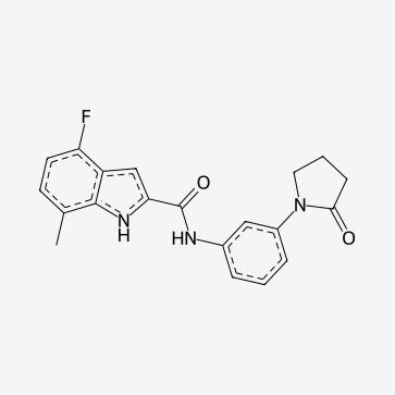 Cc1ccc(F)c2cc(C(=O)Nc3cccc(N4CCCC4=O)c3)[nH]c12